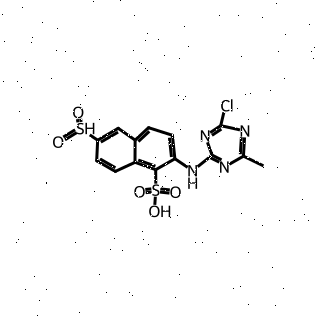 Cc1nc(Cl)nc(Nc2ccc3cc([SH](=O)=O)ccc3c2S(=O)(=O)O)n1